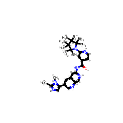 BC1(B)N(c2cc(C(=O)Nc3cc4cc(-c5cnc(C)n5C)cnc4cn3)ccn2)C(B)(B)C(B)(B)C1(B)B